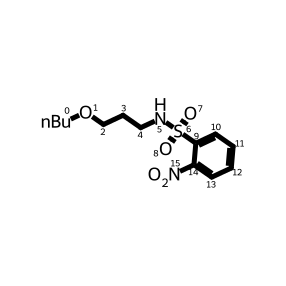 CCCCOCCCNS(=O)(=O)c1ccccc1[N+](=O)[O-]